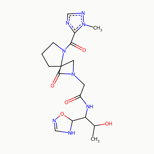 CC(O)C(NC(=O)CN1CC2(CCCN2C(=O)c2ncnn2C)C1=O)C1NC=NO1